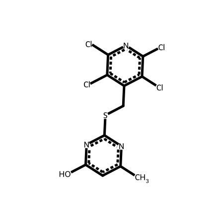 Cc1cc(O)nc(SCc2c(Cl)c(Cl)nc(Cl)c2Cl)n1